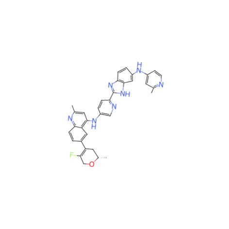 Cc1cc(Nc2ccc3nc(-c4ccc(Nc5cc(C)nc6ccc(C7=C(F)CO[C@@H](C)C7)cc56)cn4)[nH]c3c2)ccn1